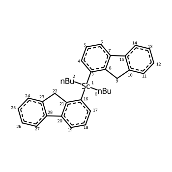 CCC[CH2][Sc]([CH2]CCC)([c]1cccc2c1Cc1ccccc1-2)[c]1cccc2c1Cc1ccccc1-2